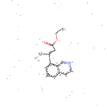 CCOC(=O)C=C(C)c1cccc2ccncc12.Cl